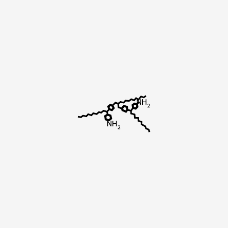 CCCCCCCCCCCC(Cc1ccc(C(CCCCCCCCCCC)c2ccc(N)cc2)cc1)Cc1ccc(C(CCCCCCCCCCC)c2ccc(N)cc2)cc1